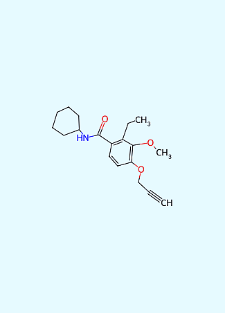 C#CCOc1ccc(C(=O)NC2CCCCC2)c(CC)c1OC